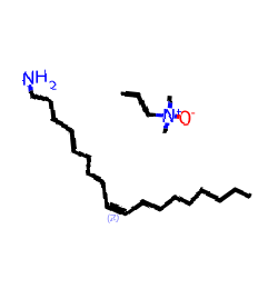 CCCCCCCC/C=C\CCCCCCCCN.CCC[N+](C)(C)[O-]